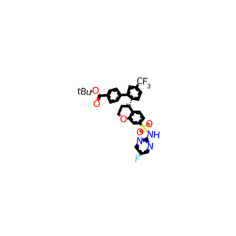 CC(C)(C)OC(=O)c1ccc(-c2cc(C(F)(F)F)ccc2[C@H]2CCOc3cc(S(=O)(=O)Nc4ncc(F)cn4)ccc32)cc1